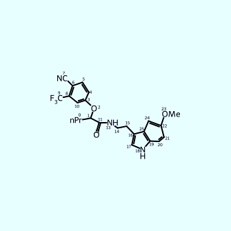 CCCC(Oc1ccc(C#N)c(C(F)(F)F)c1)C(=O)NCCc1c[nH]c2ccc(OC)cc12